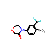 O=C1COCCN1c1ccc([N+](=O)[O-])c(C(F)F)c1